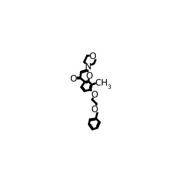 Cc1c(OCCOCc2ccccc2)ccc2c(=O)cc(N3CCOCC3)oc12